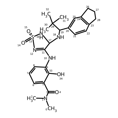 CN(C)C(=O)c1cccc(NC2=NS(=O)(=O)NC2NC(c2ccc3c(c2)CCC3)C(C)(C)C)c1O